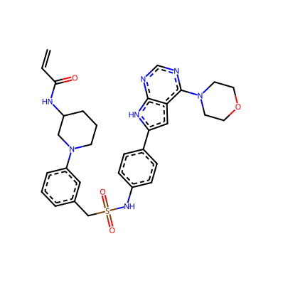 C=CC(=O)NC1CCCN(c2cccc(CS(=O)(=O)Nc3ccc(-c4cc5c(N6CCOCC6)ncnc5[nH]4)cc3)c2)C1